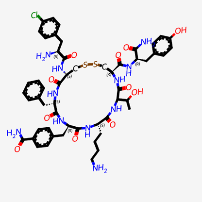 CC(O)C1NC(=O)[C@H](CCCCN)NC(=O)[C@@H](Cc2ccc(C(N)=O)cc2)NC(=O)[C@H](Cc2ccccc2)NC(=O)[C@H](NC(=O)[C@@H](N)Cc2ccc(Cl)cc2)CSSC[C@@H](C(=O)N[C@H](Cc2ccc(O)cc2)C(N)=O)NC1=O